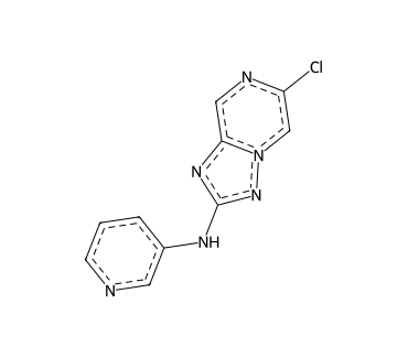 Clc1cn2nc(Nc3cccnc3)nc2cn1